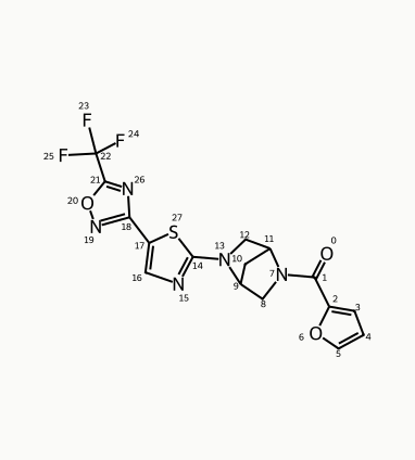 O=C(c1ccco1)N1CC2CC1CN2c1ncc(-c2noc(C(F)(F)F)n2)s1